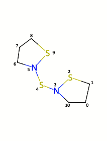 C1CSN(SN2CCCS2)C1